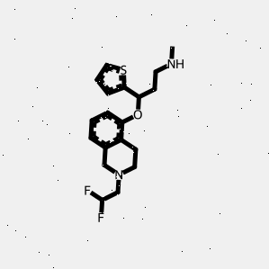 CNCCC(Oc1cccc2c1CCN(CC(F)F)C2)c1cccs1